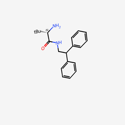 CC(C)(C)[C@H](N)C(=O)NCC(c1ccccc1)c1ccccc1